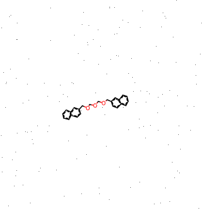 c1ccc2cc(COCOCOCc3ccc4ccccc4c3)ccc2c1